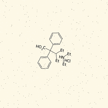 CCC(CC)C(C(=O)O)(c1ccccc1)c1ccccc1.CCNCC.Cl